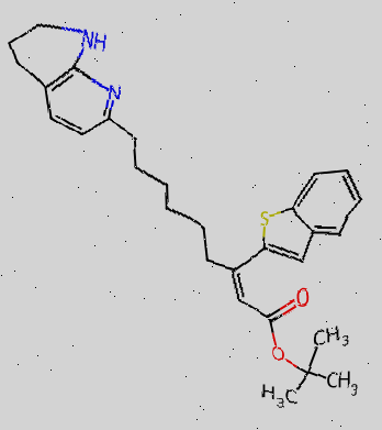 CC(C)(C)OC(=O)C=C(CCCCCCc1ccc2c(n1)NCCC2)c1cc2ccccc2s1